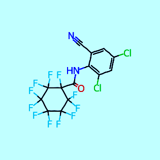 N#Cc1cc(Cl)cc(Cl)c1NC(=O)C1(F)C(F)(F)C(F)(F)C(F)(F)C(F)(F)C1(F)F